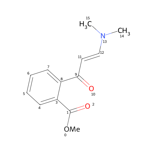 COC(=O)c1ccccc1C(=O)C=CN(C)C